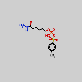 Cc1ccc(S(=O)(=O)OP(=O)(O)OCCCCCC(=O)NN)cc1